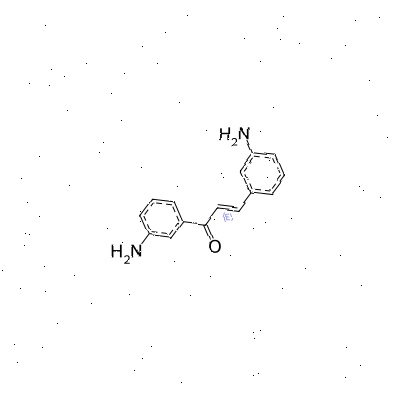 Nc1cccc(/C=C/C(=O)c2cccc(N)c2)c1